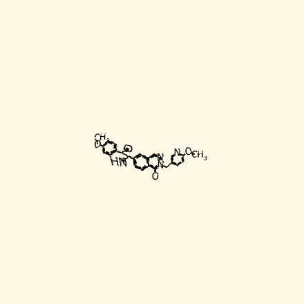 COc1ccc(S(=N)(=O)c2ccc3c(=O)n(Cc4ccc(OC)nc4)ncc3c2)cc1